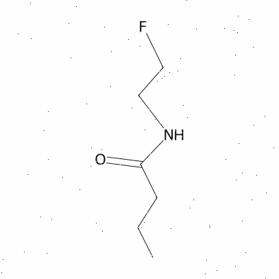 CCCC(=O)NCCF